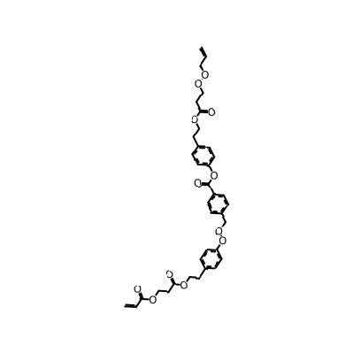 C=CCOOCCC(=O)OCCc1ccc(OC(=O)c2ccc(COOc3ccc(CCOC(=O)CCOC(=O)C=C)cc3)cc2)cc1